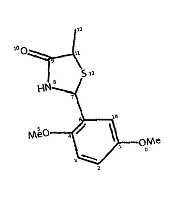 COc1ccc(OC)c(C2NC(=O)C(C)S2)c1